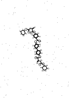 C=C(CC(=O)OC1CCCCC1)C(=O)Oc1ccc(C(=O)Oc2ccc(-c3ccc(OC(=O)C(=C)CC(=O)OC4CCCCC4)cc3)cc2)cc1